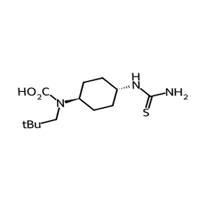 CC(C)(C)CN(C(=O)O)[C@H]1CC[C@H](NC(N)=S)CC1